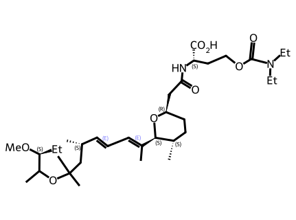 CC[C@H](OC)C(C)OC(C)(C)C[C@H](C)/C=C/C=C(\C)[C@H]1O[C@@H](CC(=O)N[C@@H](CCOC(=O)N(CC)CC)C(=O)O)CC[C@@H]1C